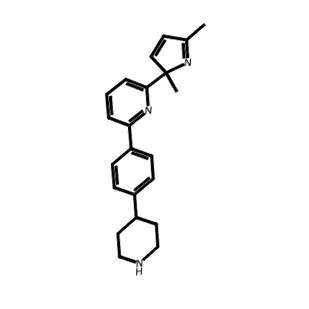 CC1=NC(C)(c2cccc(-c3ccc(C4CCNCC4)cc3)n2)C=C1